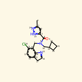 Cc1cc(C(=O)N(Cc2c(Cl)ccc3c2N=CC3)CC2CCC2)[nH]n1